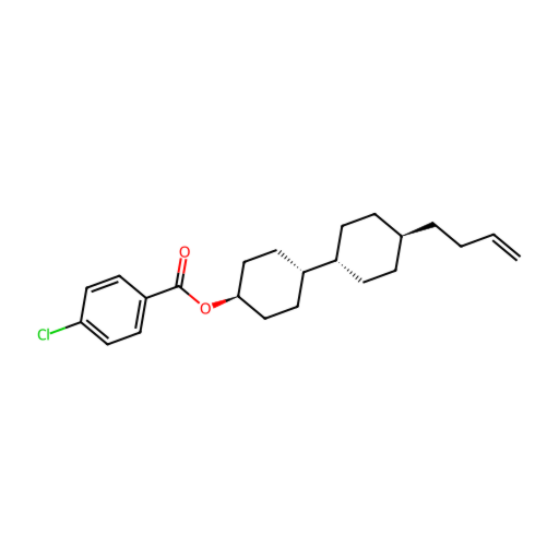 C=CCC[C@H]1CC[C@H]([C@H]2CC[C@H](OC(=O)c3ccc(Cl)cc3)CC2)CC1